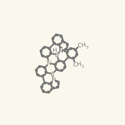 Cc1cc(C)c(-c2ccc3c4c2B2c5c(cccc5N4c4cccc5c4B3n3ccc4cccc-5c43)-c3cccc4ccn2c34)c(C)c1